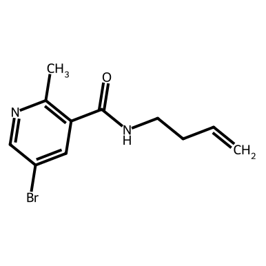 C=CCCNC(=O)c1cc(Br)cnc1C